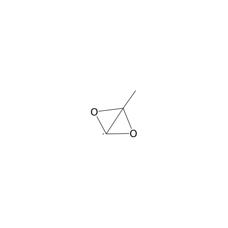 CC12O[C]1O2